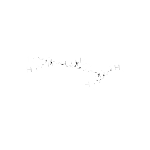 CCCCC(CCCC)OC(=O)CCCCCCCCC(CCCCCCCCC(=O)OC(CCCC)CCCC)C(C)(C)C